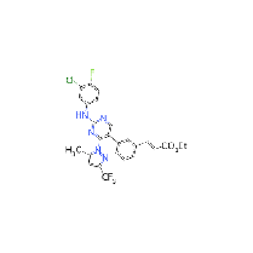 CCOC(=O)/C=C/c1cccc(-c2cnc(Nc3ccc(F)c(Cl)c3)nc2-n2nc(C(F)(F)F)cc2C)c1